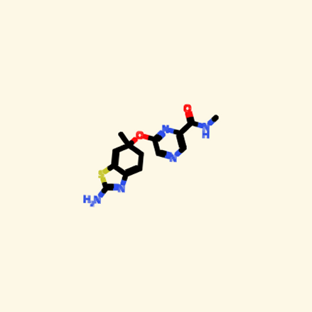 CNC(=O)c1cncc(OC2(C)C=c3sc(N)nc3=CC2)n1